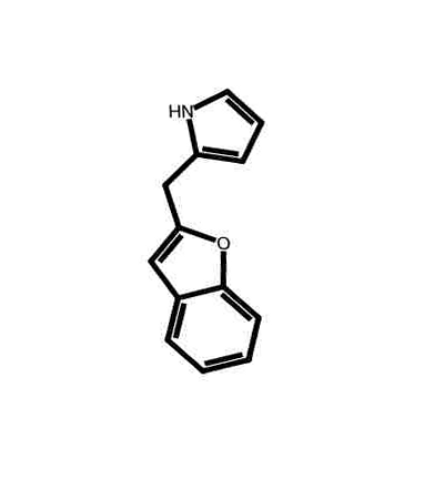 c1c[nH]c(Cc2cc3ccccc3o2)c1